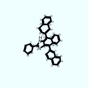 c1ccc(-c2nc3c(-c4ccc5ccccc5c4)c4ccccc4c(-c4ccc5ccccc5c4)c3[nH]2)cc1